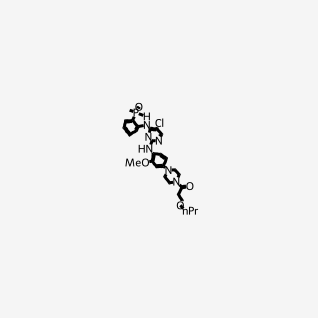 CCCOCCC(=O)N1CCN(c2ccc(Nc3ncc(Cl)c(Nc4ccccc4P(C)(C)=O)n3)c(OC)c2)CC1